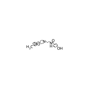 Cc1ccc(CC2(O)CCN(CCCNC(=O)c3ccc(O)cc3)CC2)cc1